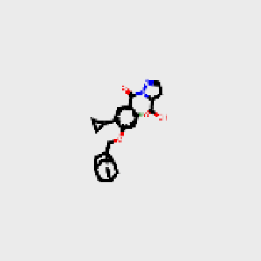 O=C(O)C1CC=NN1C(=O)c1cc(C2CC2)c(OCC23CC4CC(CC2C4)C3)cc1F